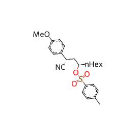 CCCCCC[C@H](C[C@H](C#N)c1ccc(OC)cc1)OS(=O)(=O)c1ccc(C)cc1